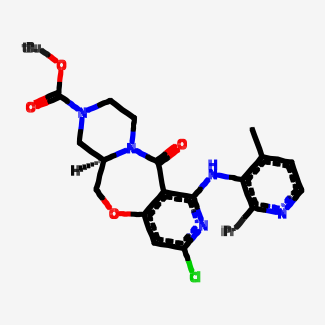 Cc1ccnc(C(C)C)c1Nc1nc(Cl)cc2c1C(=O)N1CCN(C(=O)OC(C)(C)C)C[C@@H]1CO2